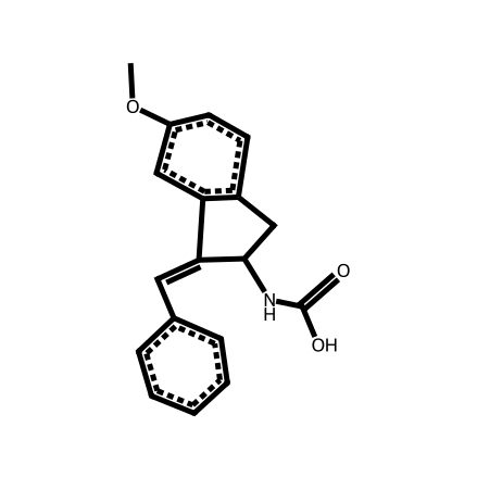 COc1ccc2c(c1)/C(=C/c1ccccc1)C(NC(=O)O)C2